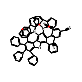 N#Cc1cc(C#N)c(-c2c(-n3c4ccccc4c4ccccc43)c(-n3c4ccccc4c4ccccc43)c3c(oc4c(-c5ccccc5)c(-c5ccccc5)c(-c5ccccc5)c(-c5ccccc5)c43)c2-c2ccccc2)c(C#N)c1